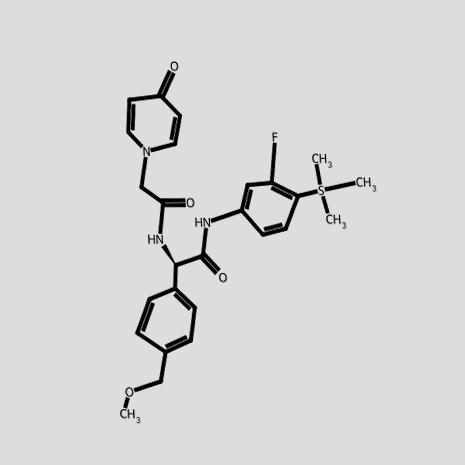 COCc1ccc([C@@H](NC(=O)Cn2ccc(=O)cc2)C(=O)Nc2ccc(S(C)(C)C)c(F)c2)cc1